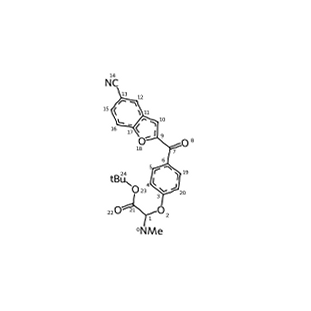 CNC(Oc1ccc(C(=O)c2cc3cc(C#N)ccc3o2)cc1)C(=O)OC(C)(C)C